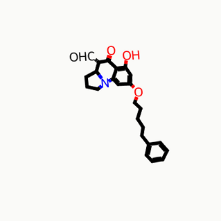 O=CC1C(=O)c2c(O)cc(OCCCCCc3ccccc3)cc2N2CCCC12